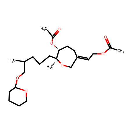 CC(=O)OC/C=C1\CC[C@@H](OC(C)=O)[C@](C)(CCCC(C)COC2CCCCO2)OC1